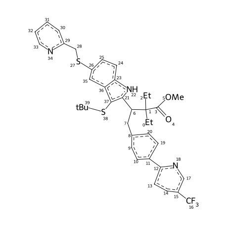 CCC(CC)(C(=O)OC)C(Cc1ccc(-c2ccc(C(F)(F)F)cn2)cc1)c1[nH]c2ccc(SCc3ccccn3)cc2c1SC(C)(C)C